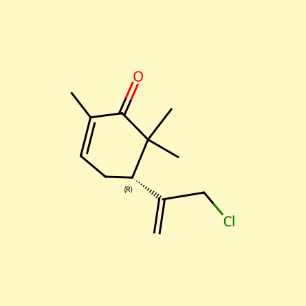 C=C(CCl)[C@@H]1CC=C(C)C(=O)C1(C)C